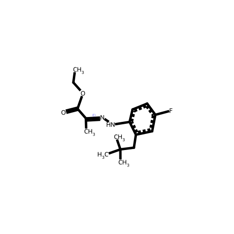 CCOC(=O)/C(C)=N/Nc1ccc(F)cc1CC(C)(C)C